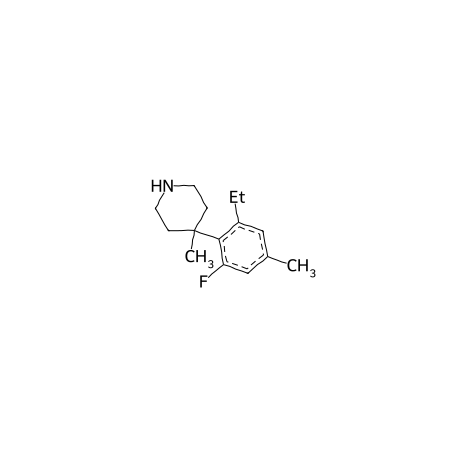 CCc1cc(C)cc(F)c1C1(C)CCNCC1